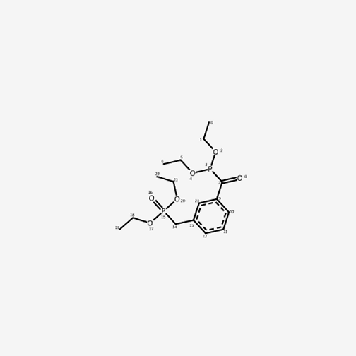 CCOP(OCC)C(=O)c1cccc(CP(=O)(OCC)OCC)c1